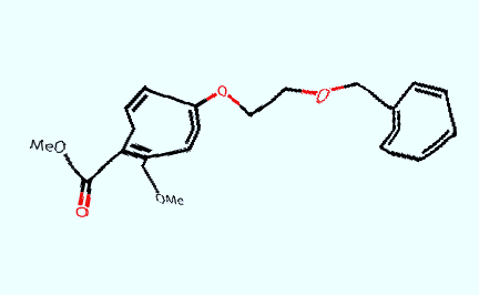 COC(=O)c1ccc(OCCOCc2ccccc2)cc1OC